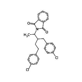 CC(C(CCc1ccc(Cl)cc1)Cc1ccc(Cl)cc1)N1C(=O)c2ccccc2C1=O